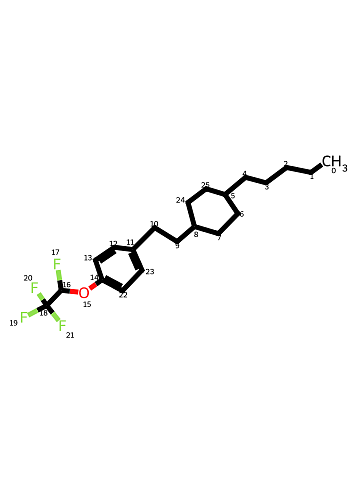 CCCCCC1CCC(CCc2ccc(OC(F)C(F)(F)F)cc2)CC1